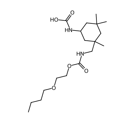 CCCCOCCOC(=O)NCC1(C)CC(NC(=O)O)CC(C)(C)C1